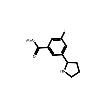 COC(=O)c1cc(F)cc(C2CCCN2)c1